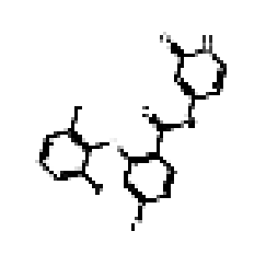 Cc1cccc(F)c1Oc1cc(Cl)ccc1C(=O)Nc1cc[nH]c(=O)c1